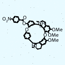 COc1cc2c3cc1Oc1c(OC)c(OC)cc4c1[C@H](Cc1ccc(OC(=O)c5ccc([N+](=O)[O-])cc5)c(c1)Oc1ccc(cc1)C[C@@H]3N(C)CC2)N(C)CC4